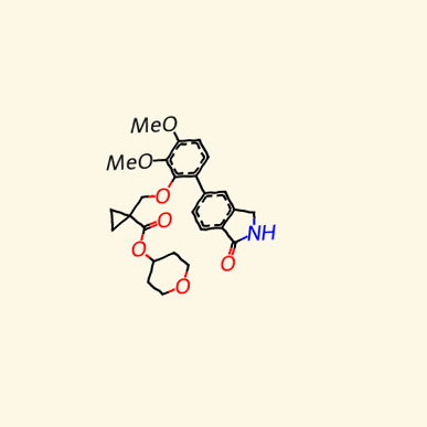 COc1ccc(-c2ccc3c(c2)CNC3=O)c(OCC2(C(=O)OC3CCOCC3)CC2)c1OC